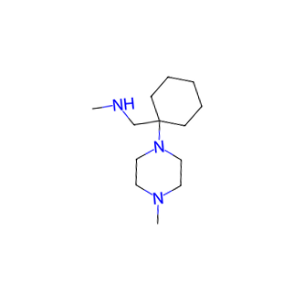 CNCC1(N2CCN(C)CC2)CCCCC1